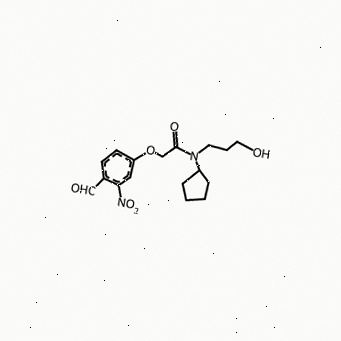 O=Cc1ccc(OCC(=O)N(CCCO)C2CCCC2)cc1[N+](=O)[O-]